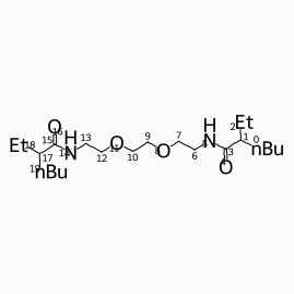 CCCCC(CC)C(=O)NCCOCCOCCNC(=O)C(CC)CCCC